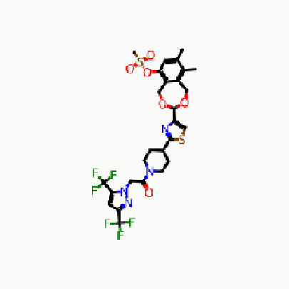 Cc1cc(OS(C)(=O)=O)c2c(c1C)COC(c1csc(C3CCN(C(=O)Cn4nc(C(F)(F)F)cc4C(F)(F)F)CC3)n1)OC2